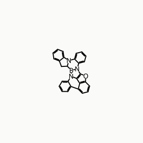 c1ccc2c(c1)CC1B3N(c4ccccc4N21)c1oc2cccc4c2c1N3c1ccccc1-4